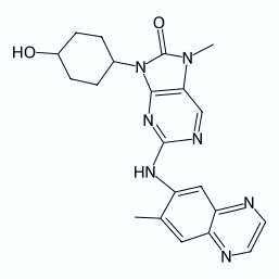 Cc1cc2nccnc2cc1Nc1ncc2c(n1)n(C1CCC(O)CC1)c(=O)n2C